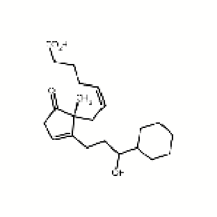 C[C@]1(C/C=C\CCCC(=O)O)C(=O)CC=C1CCC(O)C1CCCCC1